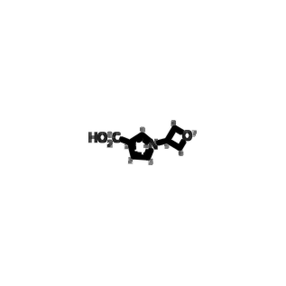 O=C(O)c1ccn(C2COC2)c1